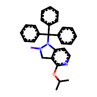 CC(C)Oc1nccc2c1CN(I)N2C(c1ccccc1)(c1ccccc1)c1ccccc1